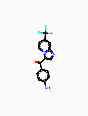 Nc1ccc(C(=O)c2cnc3cc(C(F)(F)F)ccn23)cc1